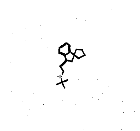 CC(C)(C)NCC=C1CC2(CCCC2)c2ccccc21